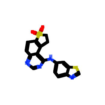 O=S1(=O)CCc2c1ccc1ncnc(Nc3ccc4ncsc4c3)c21